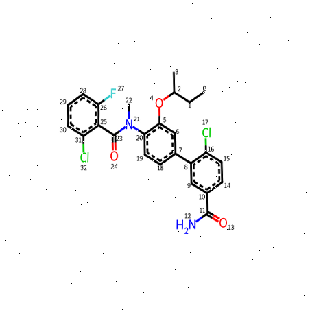 CCC(C)Oc1cc(-c2cc(C(N)=O)ccc2Cl)ccc1N(C)C(=O)c1c(F)cccc1Cl